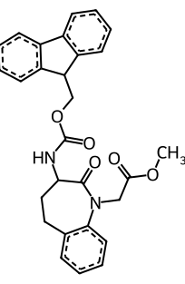 COC(=O)CN1C(=O)C(NC(=O)OCC2c3ccccc3-c3ccccc32)CCc2ccccc21